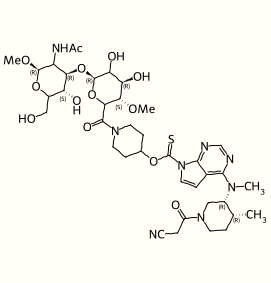 CO[C@@H]1OC(CO)[C@@H](O)[C@H](O[C@@H]2OC(C(=O)N3CCC(OC(=S)n4ccc5c(N(C)[C@H]6CN(C(=O)CC#N)CC[C@H]6C)ncnc54)CC3)[C@@H](OC)[C@H](O)C2O)C1NC(C)=O